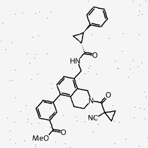 COC(=O)c1cccc(-c2ccc(CNC(=O)[C@@H]3C[C@H]3c3ccccc3)c3c2CCN(C(=O)C2(C#N)CC2)C3)c1